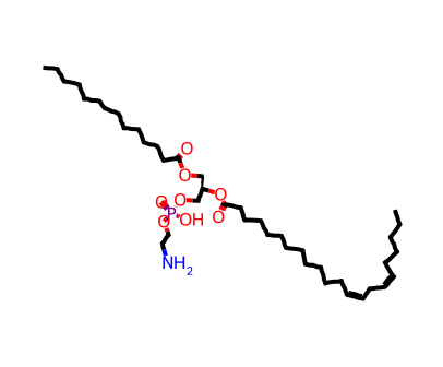 CCCCC/C=C\C/C=C\CCCCCCCCCCCC(=O)O[C@H](COC(=O)CCCCCCCCCCCCC)COP(=O)(O)OCCN